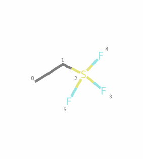 CCS(F)(F)F